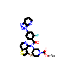 CC(C)(C)OC(=O)N1CCC[C@@H](N(C(=O)c2ccc(-n3nnc4cccnc43)cc2F)c2nccc3scc(Br)c23)C1